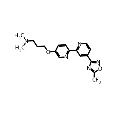 CN(C)CCCOc1ccc(-c2cc(-c3noc(C(F)(F)F)n3)ccn2)nc1